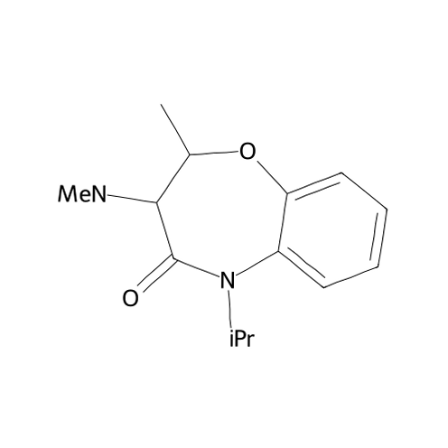 CNC1C(=O)N(C(C)C)c2ccccc2OC1C